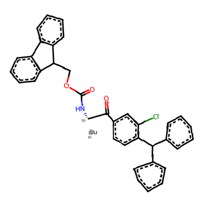 CC[C@H](C)[C@H](NC(=O)OCC1c2ccccc2-c2ccccc21)C(=O)c1ccc([C](c2ccccc2)c2ccccc2)c(Cl)c1